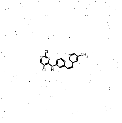 NC1=CC(/C=C\c2cccc(Nc3nc(Cl)ncc3Cl)c2)CN=C1